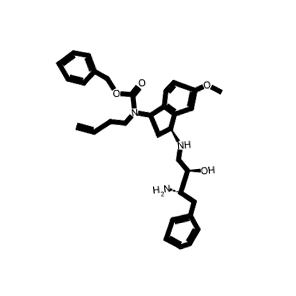 C=CCCN(C(=O)OCc1ccccc1)C1C[C@H](NC[C@@H](O)[C@@H](N)Cc2ccccc2)c2cc(OC)ccc21